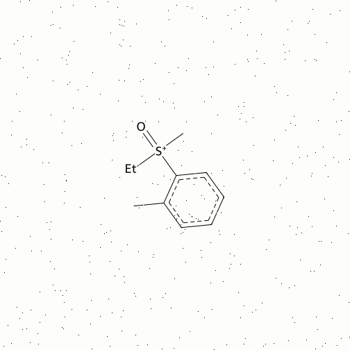 CC[S+](C)(=O)c1ccccc1C